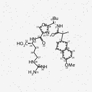 CC[C@H](C)[C@H](NC(=O)C(C)c1ccc2cc(OC)ccc2c1)c1nc(C(=O)N[C@@H](CCCNC(=N)N)C(=O)O)co1